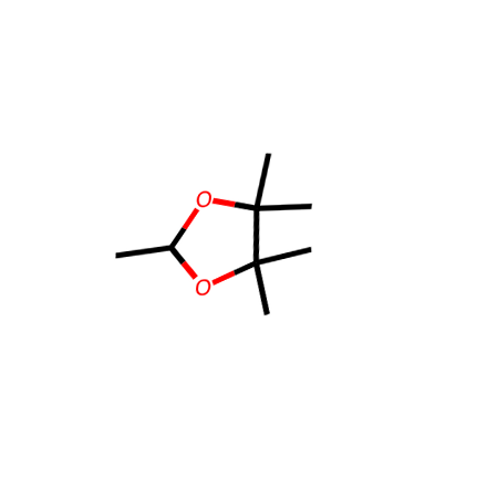 CC1OC(C)(C)C(C)(C)O1